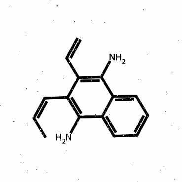 C=Cc1c(/C=C\C)c(N)c2ccccc2c1N